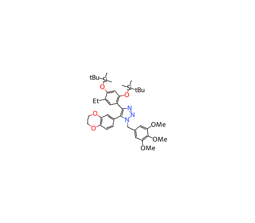 CCc1cc(-c2nnn(Cc3cc(OC)c(OC)c(OC)c3)c2-c2ccc3c(c2)OCCO3)c(O[Si](C)(C)C(C)(C)C)cc1O[Si](C)(C)C(C)(C)C